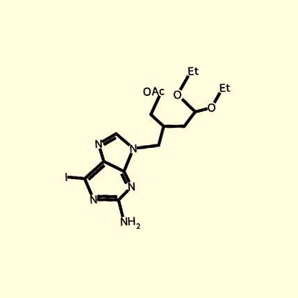 CCOC(CC(COC(C)=O)Cn1cnc2c(I)nc(N)nc21)OCC